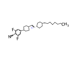 CCCCCCCC[C@H]1CC[C@H](/C=C/C2CCC(c3cc(F)c(C#N)c(F)c3)CC2)CC1